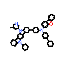 Cc1cncc(-n2c3ccc(-c4ccc(N(c5ccc(-c6ccccc6)cc5)c5ccc6c(c5)oc5ccccc56)cc4)cc3c3cc4c(cc32)c2ccccc2n4-c2ccccc2)c1